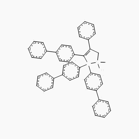 C[N+]1(C)CC(c2ccccc2)=C(c2ccc(-c3ccccc3)cc2)[B-]1(c1ccc(-c2ccccc2)cc1)c1ccc(-c2ccccc2)cc1